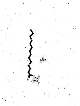 CCCCCCCCCCCCCC(=O)OP(=O)([O-])[O-].[Na+].[Na+]